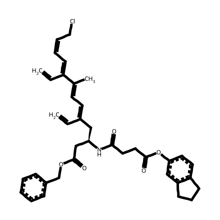 C=C\C(=C/C=C(C)/C(C=C)=C/C=C\CCl)C[C@H](CC(=O)OCc1ccccc1)NC(=O)CCC(=O)Oc1ccc2c(c1)CCC2